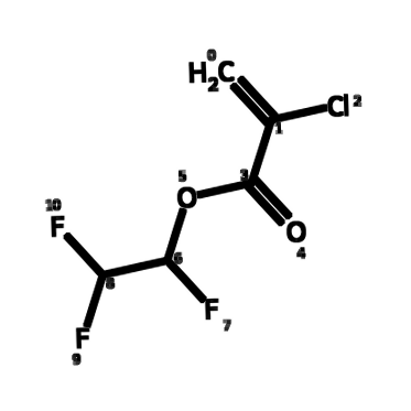 C=C(Cl)C(=O)OC(F)C(F)F